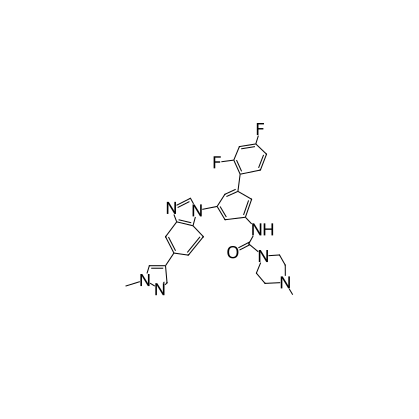 CN1CCN(C(=O)Nc2cc(-c3ccc(F)cc3F)cc(-n3cnc4cc(-c5cnn(C)c5)ccc43)c2)CC1